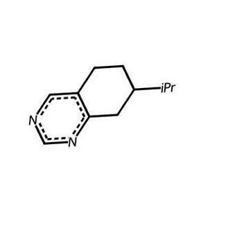 CC(C)C1CCc2cncnc2C1